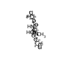 CN(C(=O)COc1ccc(Cl)c(F)c1)C12CCC(NC(=O)COc3ccc(Cl)c(F)c3)(CC1)C[C@@H]2O